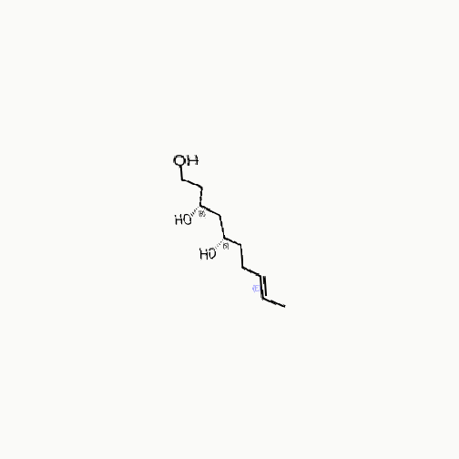 C/C=C/CC[C@H](O)C[C@H](O)CCO